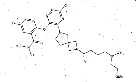 COCCN(C)CCC[C@H](C(C)C)N1CC2(CCN(c3nc(Cl)nnc3Oc3ccc(F)cc3C(=O)N(C)C(C)C)C2)C1